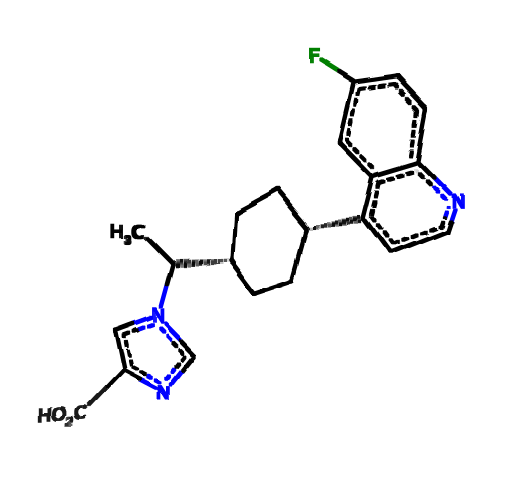 CC([C@H]1CC[C@@H](c2ccnc3ccc(F)cc32)CC1)n1cnc(C(=O)O)c1